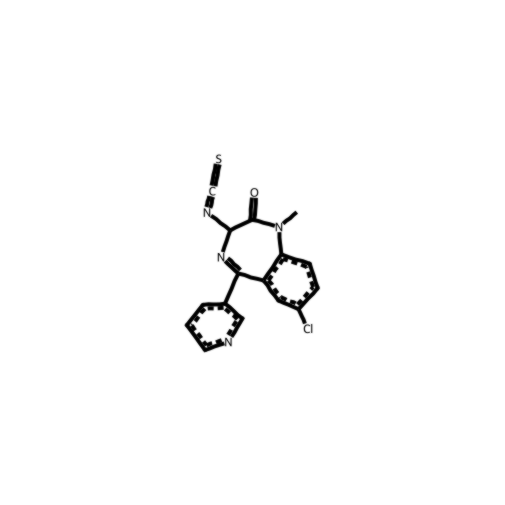 CN1C(=O)C(N=C=S)N=C(c2cccnc2)c2cc(Cl)ccc21